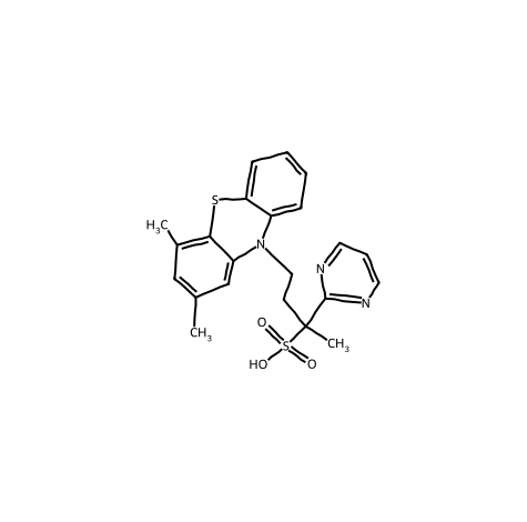 Cc1cc(C)c2c(c1)N(CCC(C)(c1ncccn1)S(=O)(=O)O)c1ccccc1S2